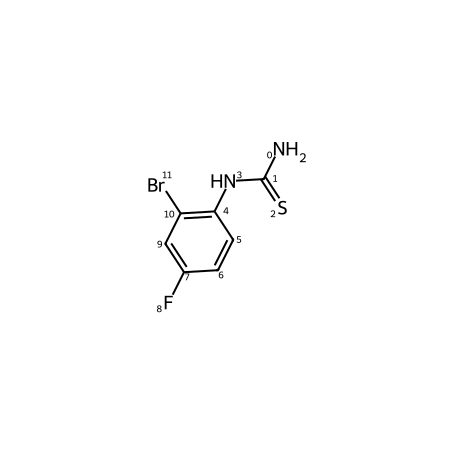 NC(=S)Nc1ccc(F)cc1Br